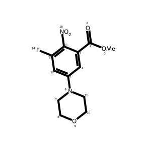 COC(=O)c1cc(N2CCOCC2)cc(F)c1[N+](=O)[O-]